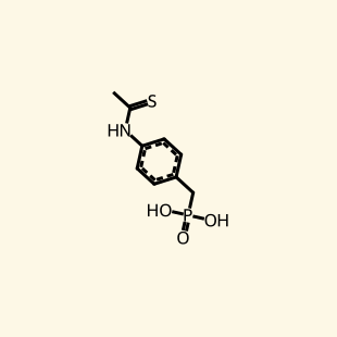 CC(=S)Nc1ccc(CP(=O)(O)O)cc1